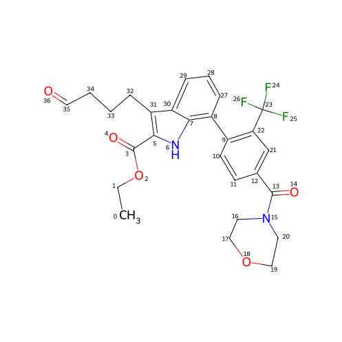 CCOC(=O)c1[nH]c2c(-c3ccc(C(=O)N4CCOCC4)cc3C(F)(F)F)cccc2c1CCCC=O